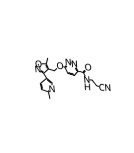 Cc1ccc(-c2noc(C)c2COc2ccc(C(=O)NCCC#N)nn2)cn1